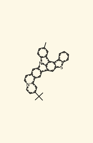 Cc1ccc2c(c1)c1c3c(cc4c5cc6c(cc[n+]7ccc(C(C)(C)C)cc67)cc5n2c41)sc1ccccc13